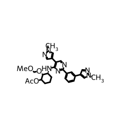 COCO[C@@H]1C(OC(C)=O)CCC[C@@H]1Nc1nc(-c2cccc(-c3cnn(C)c3)c2)ncc1-c1cnn(C)c1